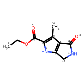 CCOC(=O)c1[nH]c2c(c1C)C(=O)NC2